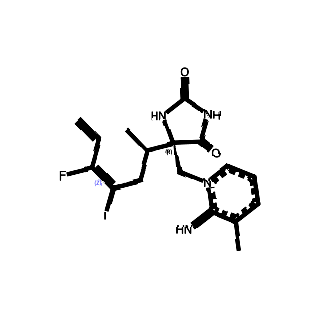 C=C/C(F)=C(/I)CC(C)[C@]1(Cn2cccc(C)c2=N)NC(=O)NC1=O